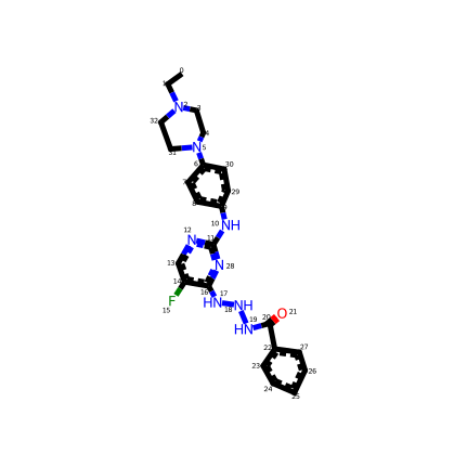 CCN1CCN(c2ccc(Nc3ncc(F)c(NNNC(=O)c4ccccc4)n3)cc2)CC1